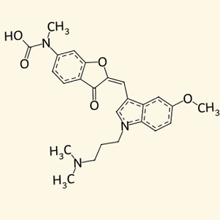 COc1ccc2c(c1)c(C=C1Oc3cc(N(C)C(=O)O)ccc3C1=O)cn2CCCN(C)C